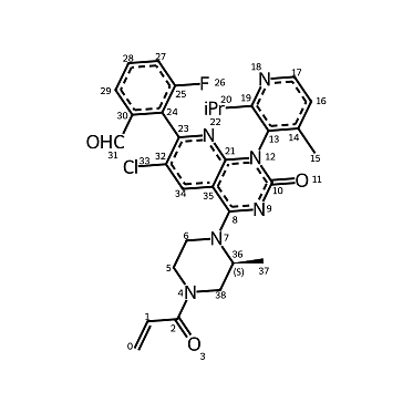 C=CC(=O)N1CCN(c2nc(=O)n(-c3c(C)ccnc3C(C)C)c3nc(-c4c(F)cccc4C=O)c(Cl)cc23)[C@@H](C)C1